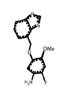 COc1cc(F)c(N)cc1OCc1cccc2ncsc12